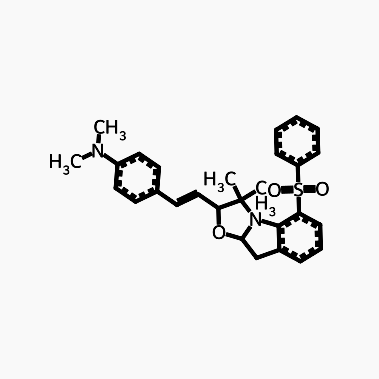 CN(C)c1ccc(C=CC2OC3Cc4cccc(S(=O)(=O)c5ccccc5)c4N3C2(C)C)cc1